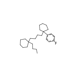 CCCCC1(CCCCC2(c3ccc(F)cc3)CCCCC2)CCCCC1